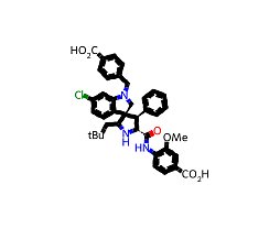 COc1cc(C(=O)O)ccc1NC(=O)[C@@H]1NC(CC(C)(C)C)[C@@]2(CN(Cc3ccc(C(=O)O)cc3)c3cc(Cl)ccc32)[C@H]1c1ccccc1